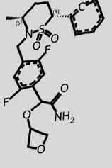 C[C@H]1CC[C@H](c2ccccc2)S(=O)(=O)N1Cc1cc(F)c(C(OC2COC2)C(N)=O)cc1F